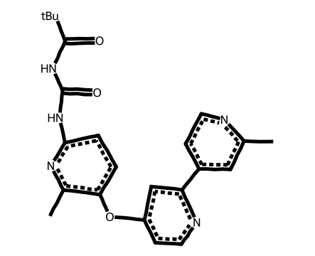 Cc1cc(-c2cc(Oc3ccc(NC(=O)NC(=O)C(C)(C)C)nc3C)ccn2)ccn1